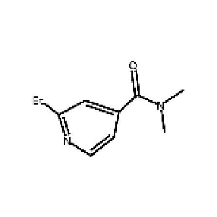 CCc1cc(C(=O)N(C)C)ccn1